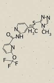 C[C@H](Sc1nncn1C)c1ccnc(NC(=O)c2cccc(OC(F)(F)F)n2)c1